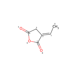 C/C=C1\CC(=O)OC1=O